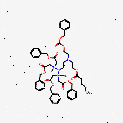 CCCCCCCCCCCCCC(=O)OCCN(CCOC(=O)OCc1ccccc1)CCN([N+](CC(=O)OCc1ccccc1)(CC(=O)OCc1ccccc1)C(C)=O)[N+](CC(=O)OCc1ccccc1)(CC(=O)OCc1ccccc1)C(C)=O